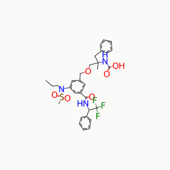 CCCN(c1cc(COCC(C)(Cc2ccccc2)NC(=O)O)cc(C(=O)NC(c2ccccc2)C(F)(F)F)c1)S(C)(=O)=O